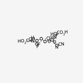 Cc1c(COc2cc(OCc3cncc(C#N)c3)c(CNC[C@@H](O)CC(=O)O)cc2Cl)cccc1-c1cccc(-c2ccc(CNC[C@@H](O)CC(=O)O)c(OC(F)F)c2)c1C